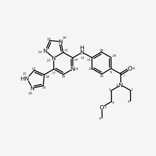 CCN(CCOC)C(=O)c1ccc(Nc2ncc(-c3cn[nH]c3)n3ncnc23)cc1